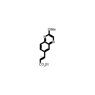 CCOC(=O)/C=C/c1ccc2nc(OC)cnc2c1